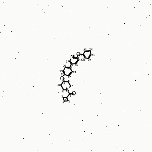 O=C(C1CCC1)N1CCC(Oc2ccc(-c3ccc(Oc4ccccc4)nc3)cc2)CC1